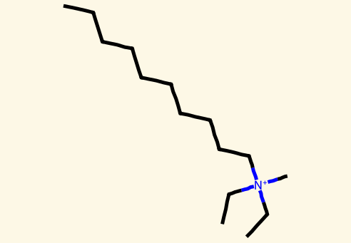 CCCCCCCCCC[N+](C)(CC)CC